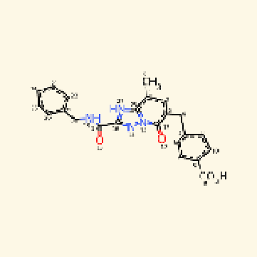 Cc1cc(Cc2ccc(C(=O)O)cc2)c(=O)n2nc(C(=O)NCc3ccccc3)[nH]c12